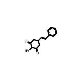 CC(C)C1C(=O)CC(/C=C/c2ccccc2)CC1=O